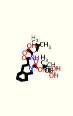 CC(C)C[C@H](NC(=O)C1Cc2ccccc2CN1C(=O)OC(C)(C)C)C(=O)O.OBO